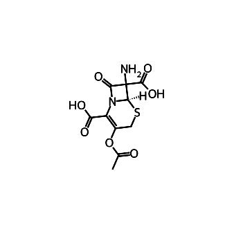 CC(=O)OC1=C(C(=O)O)N2C(=O)C(N)(C(=O)O)[C@H]2SC1